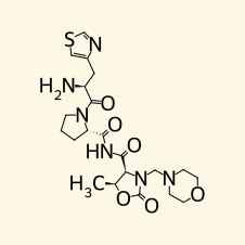 C[C@@H]1OC(=O)N(CN2CCOCC2)[C@@H]1C(=O)NC(=O)[C@@H]1CCCN1C(=O)[C@@H](N)Cc1cscn1